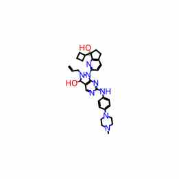 C=CCN1C(O)c2cnc(Nc3ccc(N4CCN(C)CC4)cc3)nc2N1c1ccc2c(n1)[C@@](O)(C1CCC1)CC2